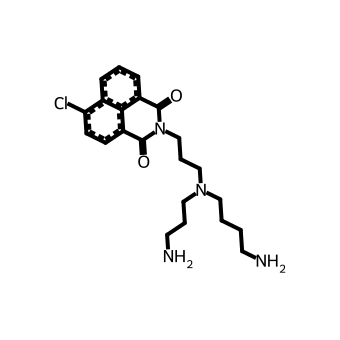 NCCCCN(CCCN)CCCN1C(=O)c2cccc3c(Cl)ccc(c23)C1=O